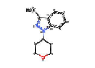 O=C(O)c1nn(C2CCOCC2)c2ccccc12